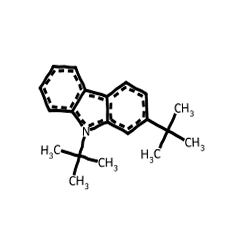 CC(C)(C)c1ccc2c3ccccc3n(C(C)(C)C)c2c1